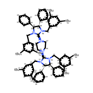 CC(C)(C)c1cc(CN2C(=[N+]3CC[N+](=C4N(Cc5cc(C(C)(C)C)cc(C(C)(C)C)c5)[C@@H](c5ccccc5)[C@H](c5ccccc5)N4Cc4cc(C(C)(C)C)cc(C(C)(C)C)c4)CC3)N(Cc3cc(C(C)(C)C)cc(C(C)(C)C)c3)[C@@H](c3ccccc3)[C@@H]2c2ccccc2)cc(C(C)(C)C)c1